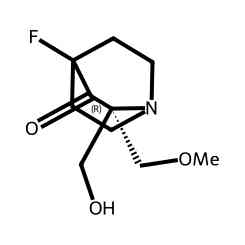 COC[C@]1(CO)C(=O)C2(F)CCN1CC2